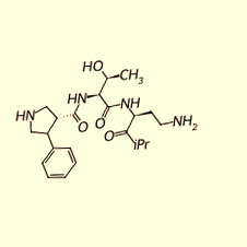 CC(C)C(=O)[C@H](CCN)NC(=O)[C@@H](NC(=O)[C@H]1CNCC1c1ccccc1)[C@H](C)O